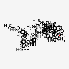 CCCNC(=O)Nc1cccc(S(=O)(=O)Nc2cccc([C@@H](CC(=O)O)NC(=O)Nc3ccc(NC(=O)NCCN(C)CCN(C)CCN(C)CC(=O)N[C@@H](CC(N)=O)C(=O)N4CCC[C@H]4C(=O)N[C@H](C(=O)O[C@]4(CC)C(=O)OCc5c4cc4n(c5=O)Cc5c-4nc4ccccc4c5CC)C(C)C)cc3)c2)c1